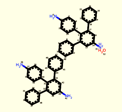 Nc1ccc(-c2c(-c3ccccc3)cc(N)cc2-c2ccccc2)cc1.Nc1ccc(-c2c(-c3ccccc3)cc(N)cc2-c2ccccc2)cc1.O